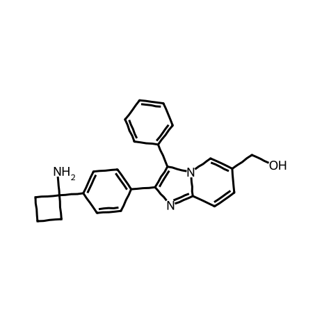 NC1(c2ccc(-c3nc4ccc(CO)cn4c3-c3ccccc3)cc2)CCC1